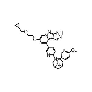 COc1ccc(CN2C3CCN(c4ccc(-c5cc(OCCOCC6CC6)cn6nc7[nH]ncc7c56)cn4)CC2C3)cn1